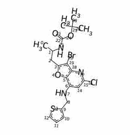 CC(Cc1oc2c(NCc3cccs3)cc(Cl)nc2c1Br)NC(=O)OC(C)(C)C